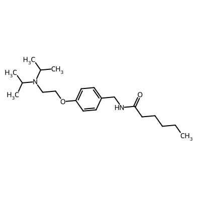 CCCCCC(=O)NCc1ccc(OCCN(C(C)C)C(C)C)cc1